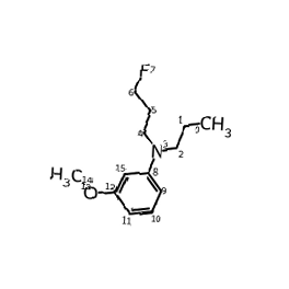 CCCN(CCCF)c1cccc(OC)c1